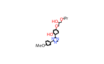 COc1ccc(-c2ncnc(-c3ccc(OCC(O)COC(C)C)cc3O)n2)cc1